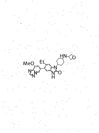 CCc1cc2c(cc1-c1cc(OC)c3ncnn3c1)[nH]c(=O)n2C1CCC(NC2COC2)CC1